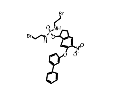 O=[N+]([O-])c1cc2c(cc1Oc1cccc(-c3ccccc3)c1)C(OP(=O)(NCCBr)NCCBr)CC2